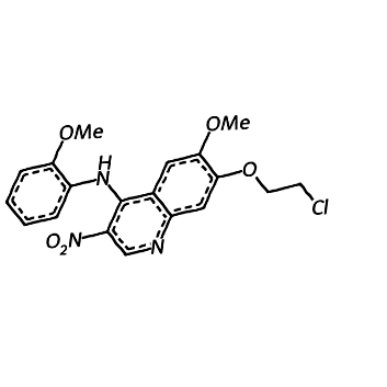 COc1ccccc1Nc1c([N+](=O)[O-])cnc2cc(OCCCl)c(OC)cc12